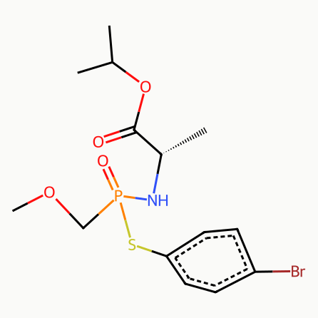 COCP(=O)(N[C@@H](C)C(=O)OC(C)C)Sc1ccc(Br)cc1